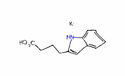 O=C(O)CCCc1cc2ccccc2[nH]1.[K]